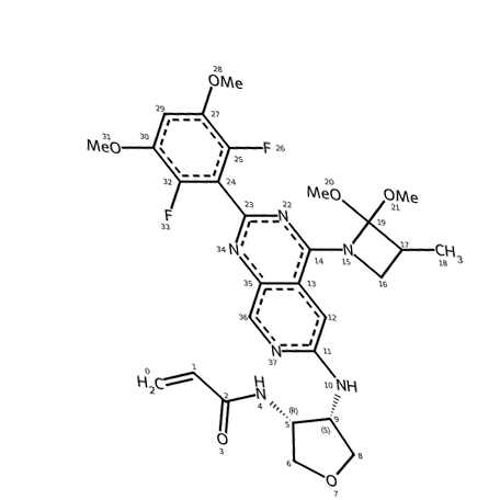 C=CC(=O)N[C@H]1COC[C@H]1Nc1cc2c(N3CC(C)C3(OC)OC)nc(-c3c(F)c(OC)cc(OC)c3F)nc2cn1